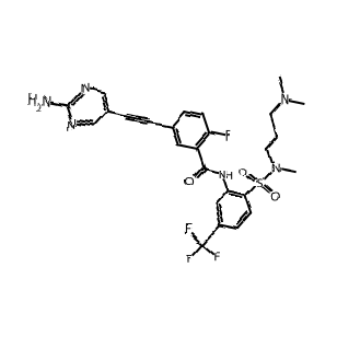 CN(C)CCCN(C)S(=O)(=O)c1ccc(C(F)(F)F)cc1NC(=O)c1cc(C#Cc2cnc(N)nc2)ccc1F